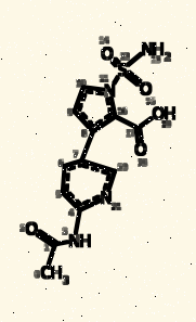 CC(=O)Nc1ccc(-c2ccn(S(N)(=O)=O)c2C(=O)O)cn1